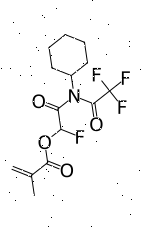 C=C(C)C(=O)OC(F)C(=O)N(C(=O)C(F)(F)F)C1CCCCC1